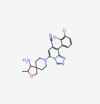 CC1OCC2(CCN(c3cc(C#N)c(-c4cccc(Cl)c4Cl)c4nncn34)CC2)C1N